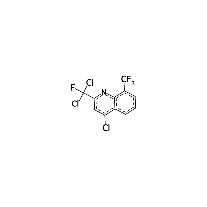 FC(F)(F)c1cccc2c(Cl)cc(C(F)(Cl)Cl)nc12